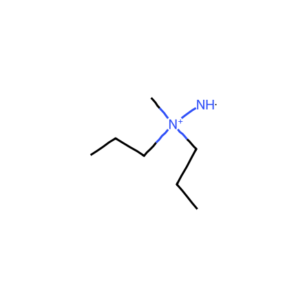 CCC[N+](C)([NH])CCC